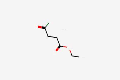 CCOC(=O)CCC(=O)Cl.Cl